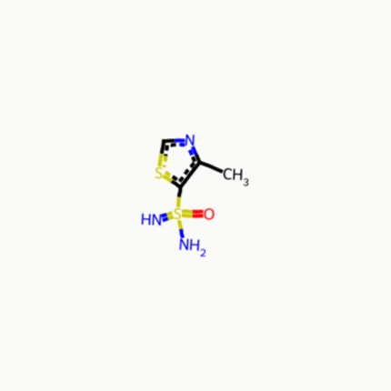 Cc1ncsc1S(=N)(N)=O